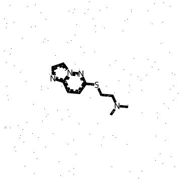 CN(C)CCSc1ccc2nccn2n1